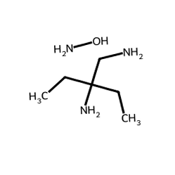 CCC(N)(CC)CN.NO